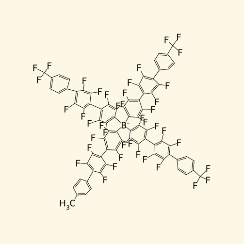 Cc1ccc(-c2c(F)c(F)c(-c3c(F)c(F)c([B-](c4c(F)c(F)c(-c5c(F)c(F)c(-c6ccc(C(F)(F)F)cc6)c(F)c5F)c(F)c4F)(c4c(F)c(F)c(-c5c(F)c(F)c(-c6ccc(C(F)(F)F)cc6)c(F)c5F)c(F)c4F)c4c(F)c(F)c(-c5c(F)c(F)c(-c6ccc(C(F)(F)F)cc6)c(F)c5F)c(F)c4F)c(F)c3F)c(F)c2F)cc1